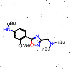 CCCCNc1ccc(-c2nc(CN(CCCC)CCCC)no2)c(OC)c1